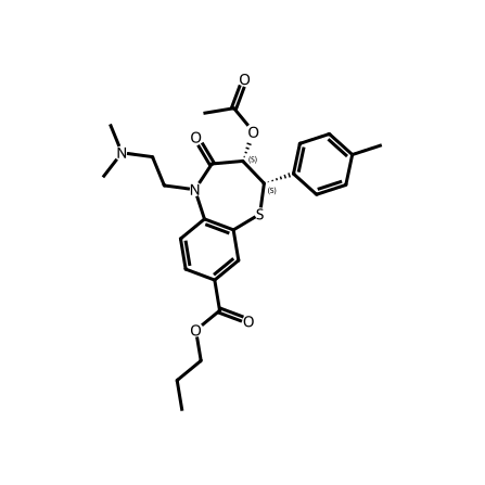 CCCOC(=O)c1ccc2c(c1)S[C@@H](c1ccc(C)cc1)[C@@H](OC(C)=O)C(=O)N2CCN(C)C